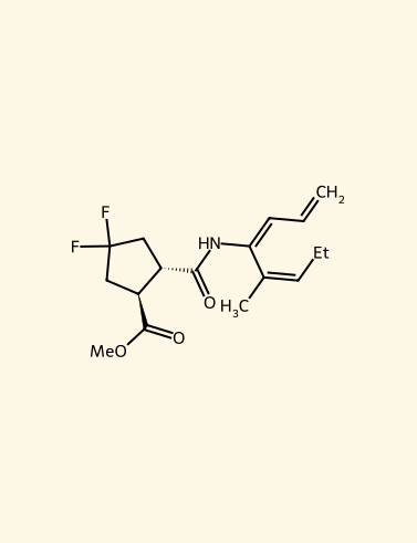 C=C/C=C(NC(=O)[C@H]1CC(F)(F)C[C@@H]1C(=O)OC)\C(C)=C/CC